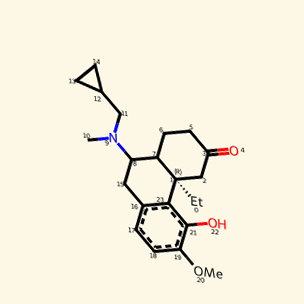 CC[C@@]12CC(=O)CCC1C(N(C)CC1CC1)Cc1ccc(OC)c(O)c12